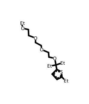 CCOCCOCCOCCOC(CC)(CC)c1ccc(CC)s1